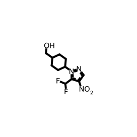 O=[N+]([O-])c1cnn(C2CCC(CO)CC2)c1C(F)F